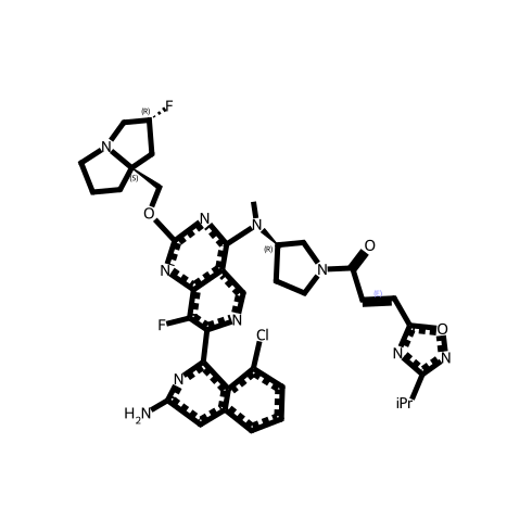 CC(C)c1noc(/C=C/C(=O)N2CC[C@@H](N(C)c3nc(OC[C@@]45CCCN4C[C@H](F)C5)nc4c(F)c(-c5nc(N)cc6cccc(Cl)c56)ncc34)C2)n1